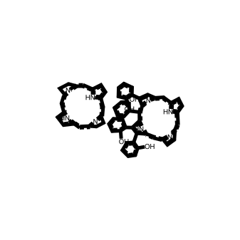 Oc1ccccc1C1=Cc2cc3ccc(cc4nc(cc5[nH]c(c(-c6ccccc6O)c1n2)c(-c1ccccc1O)c5-c1ccccc1O)C=C4)[nH]3.c1cc2cc3nc(cc4ccc(cc5nc(cc1[nH]2)CC5)[nH]4)CC3